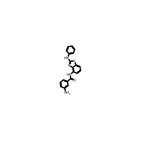 Nc1cccc(C(=O)Nc2cccc3sc(Nc4ccccc4)nc23)c1